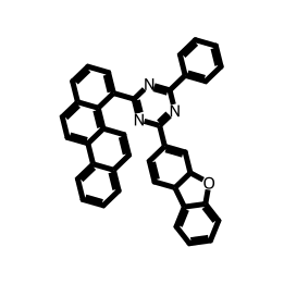 C1=CC2c3ccccc3OC2C=C1c1nc(-c2ccccc2)nc(-c2cccc3ccc4c5ccccc5ccc4c23)n1